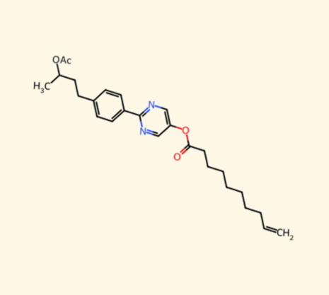 C=CCCCCCCCC(=O)Oc1cnc(-c2ccc(CCC(C)OC(C)=O)cc2)nc1